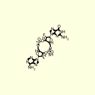 C[C@@H]1[C@@H]2O[P@](=O)(S)OC[C@H]3O[C@@H](n4cnc5c(=O)[nH]c(N)nc54)[C@H](F)[C@@H]3O[P@@](C)(=O)OC[C@H]2O[C@H]1n1cnc2c(N)ncnc21